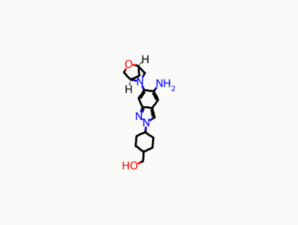 Nc1cc2cn(C3CCC(CO)CC3)nc2cc1N1C[C@H]2C[C@@H]1CO2